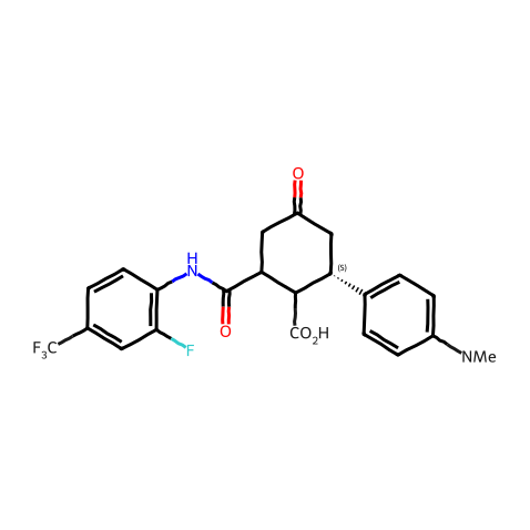 CNc1ccc([C@H]2CC(=O)CC(C(=O)Nc3ccc(C(F)(F)F)cc3F)C2C(=O)O)cc1